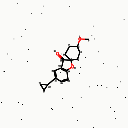 COC1CCC2(CC1)Oc1ccc(C3CC3)cc1C2=O